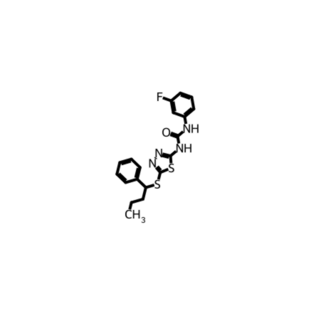 CCCC(Sc1nnc(NC(=O)Nc2cccc(F)c2)s1)c1ccccc1